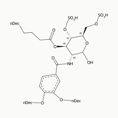 CCCCCCCCCCCCCC(=O)O[C@H]1[C@H](OS(=O)(=O)O)[C@@H](COS(=O)(=O)O)OC(O)[C@@H]1NC(=O)c1ccc(OCCCCCCCCCC)c(OCCCCCCCCCC)c1